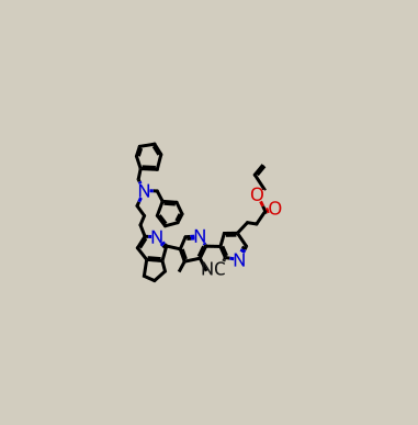 C=CCOC(=O)CCc1cnc(C#N)c(-c2ncc(-c3nc(CCCN(Cc4ccccc4)Cc4ccccc4)cc4c3CCC4)c(C)c2C)c1